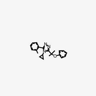 Cc1ccccc1-c1nnc(C(C)(C)Oc2ccccc2)n1C1CC1